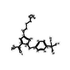 CCCCOc1cc(C(=O)O)n(Cc2ccc(C(F)(F)F)cc2)n1